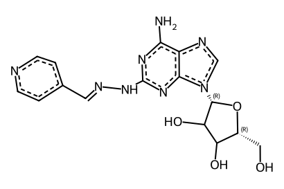 Nc1nc(NN=Cc2ccncc2)nc2c1ncn2[C@@H]1O[C@H](CO)C(O)C1O